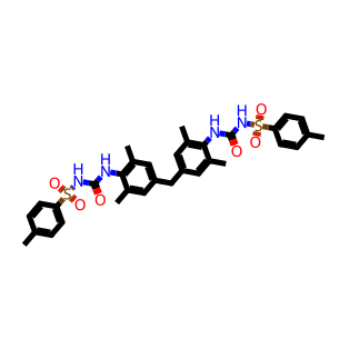 Cc1ccc(S(=O)(=O)NC(=O)Nc2c(C)cc(Cc3cc(C)c(NC(=O)NS(=O)(=O)c4ccc(C)cc4)c(C)c3)cc2C)cc1